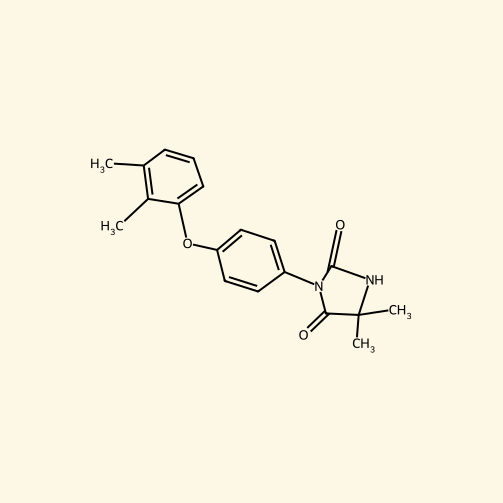 Cc1cccc(Oc2ccc(N3C(=O)NC(C)(C)C3=O)cc2)c1C